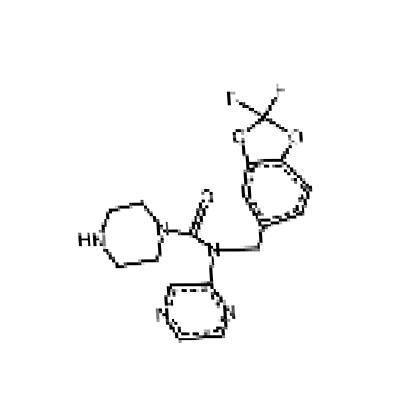 O=C(N1CCNCC1)N(Cc1ccc2c(c1)OC(F)(F)O2)c1cnccn1